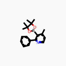 Cc1ccnc(-c2ccccc2)c1B1OC(C)(C)C(C)(C)O1